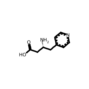 N[C@@H](CC(=O)O)Cc1ccncc1